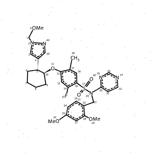 COCn1cc([C@H]2CCCC[C@@H]2Oc2cc(F)c(S(=O)(=O)N(Cc3ccc(OC)cc3OC)c3ccncn3)cc2C)cn1